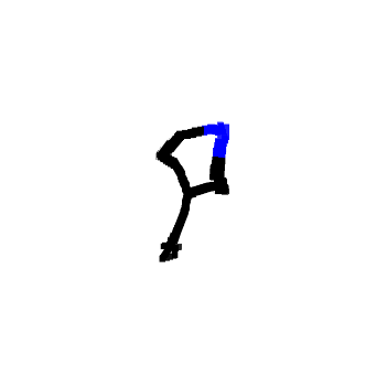 [Zr][CH]1B=NCC1